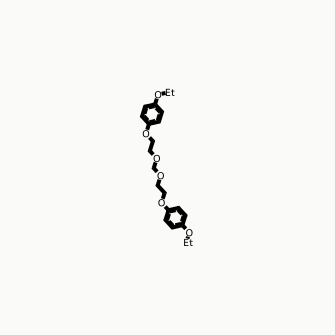 CCOc1ccc(OCCOCOCCOc2ccc(OCC)cc2)cc1